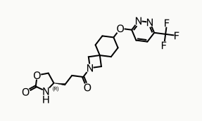 O=C1N[C@H](CCC(=O)N2CC3(CCC(Oc4ccc(C(F)(F)F)nn4)CC3)C2)CO1